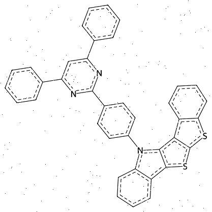 c1ccc(-c2cc(-c3ccccc3)nc(-c3ccc(-n4c5ccccc5c5sc6sc7ccccc7c6c54)cc3)n2)cc1